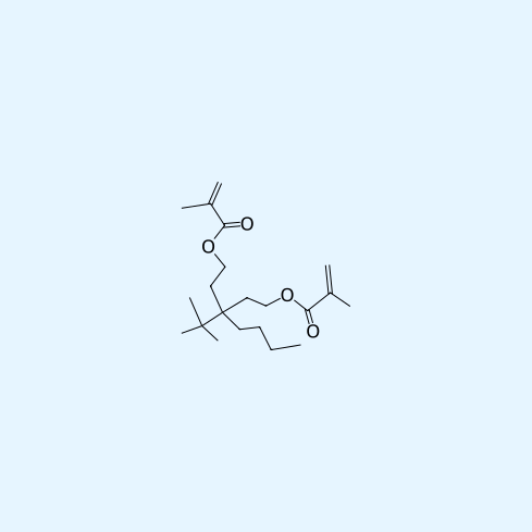 C=C(C)C(=O)OCCC(CCCC)(CCOC(=O)C(=C)C)C(C)(C)C